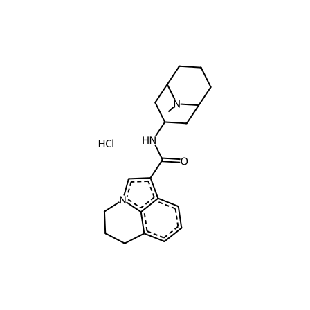 CN1C2CCCC1CC(NC(=O)c1cn3c4c(cccc14)CCC3)C2.Cl